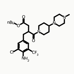 CCCCOC(=O)CC(Cc1cc(Cl)c(N)c(C(F)(F)F)c1)C(=O)N1CCC(N2CCN(C)CC2)CC1